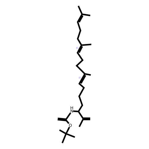 C=C(NC(CCC/C=C(\C)CC/C=C(\C)CCC=C(C)C)C(=C)C)OC(C)(C)C